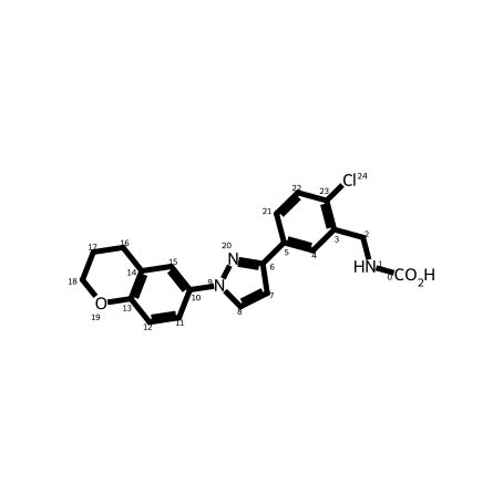 O=C(O)NCc1cc(-c2ccn(-c3ccc4c(c3)CCCO4)n2)ccc1Cl